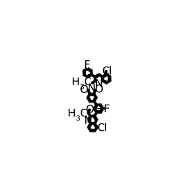 CC(O)c1nc2cccc(Cl)c2cc1-c1cc(F)cc(-c2ccc3c(c2)C(=O)N(C(C)c2nc4cccc(Cl)c4cc2-c2cccc(F)c2)C3=O)c1